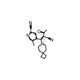 CC(=O)/C(C#N)=C(\c1cc(C#N)ncc1C)N1CCC2(CCC2)CC1